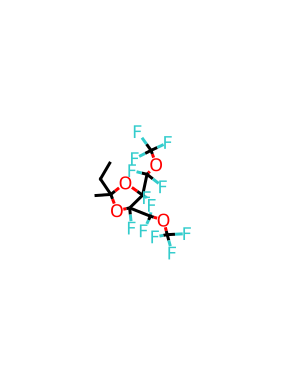 CCC1(C)OC(F)(C(F)(F)OC(F)(F)F)C(F)(C(F)(F)OC(F)(F)F)O1